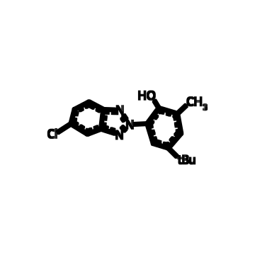 Cc1cc(C(C)(C)C)cc(-n2nc3ccc(Cl)cc3n2)c1O